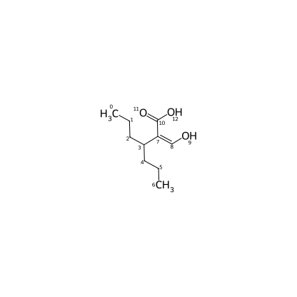 CCCC(CCC)C(=CO)C(=O)O